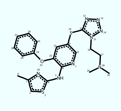 Cc1csc(Nc2ncc(Sc3nnnn3CCN(C)C)cc2Oc2ccccc2)n1